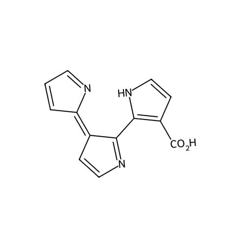 O=C(O)c1cc[nH]c1C1=NC=CC1=C1C=CC=N1